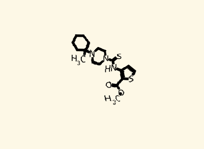 COC(=O)c1sccc1NC(=S)N1CCN(C2(C)CCCCC2)CC1